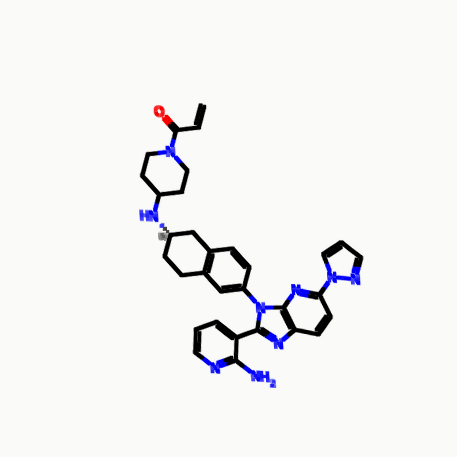 C=CC(=O)N1CCC(N[C@H]2CCc3cc(-n4c(-c5cccnc5N)nc5ccc(-n6cccn6)nc54)ccc3C2)CC1